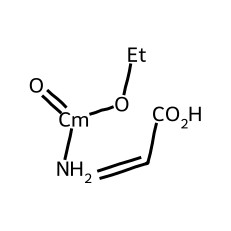 C=CC(=O)O.CC[O][Cm]([NH2])=[O]